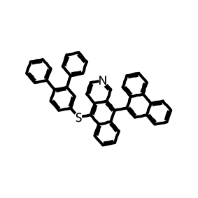 c1ccc(-c2ccc(Sc3c4ccccc4c(-c4cc5ccccc5c5ccccc45)c4cnccc34)cc2-c2ccccc2)cc1